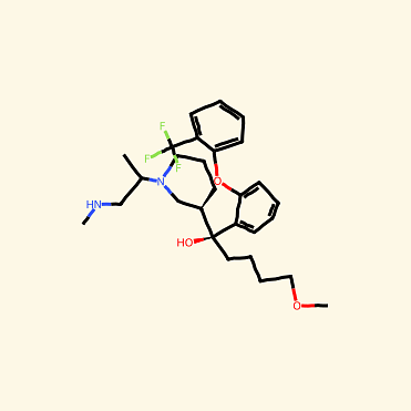 CNCC(C)N1CCC[C@@H]([C@@](O)(CCCCOC)c2ccccc2Oc2ccccc2C(F)(F)F)C1